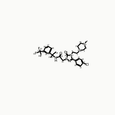 CN1CCN(CCn2c(-c3ccc(Cl)cc3)nn(CC(=O)NC(C)(C)c3cccc(C(F)(F)F)c3)c2=O)CC1